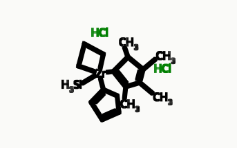 CC1=C(C)C(C)[C]([Zr]2([SiH3])([C]3=CC=CC3)[CH2]C[CH2]2)=C1C.Cl.Cl